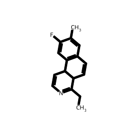 CCC1=NC=CC2c3cc(F)c(C)cc3C=CC12